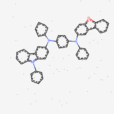 c1ccc(N(c2ccc(N(c3ccccc3)c3ccc4c(c3)c3ccccc3n4-c3ccccc3)cc2)c2ccc3oc4ccccc4c3c2)cc1